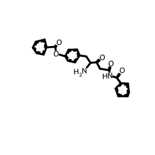 NC(Cc1ccc(OC(=O)c2ccccc2)cc1)C(=O)CC(=O)NC(=O)c1ccccc1